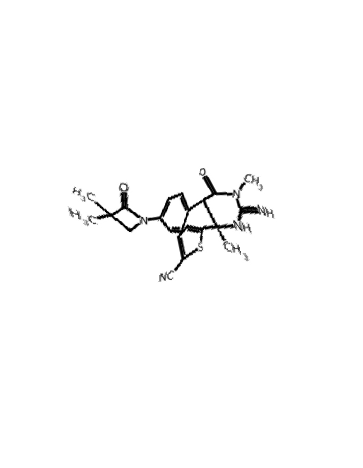 CN1C(=N)N[C@](C)(c2ccc(C#N)s2)C(c2ccc(N3CC(C)(C)C3=O)cc2)C1=O